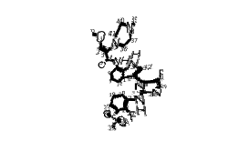 COC=C(C(=O)Nc1cccc2c(-c3nc(Nc4cccc(S(C)(=O)=O)c4F)ncc3F)c[nH]c12)N1CCN(C)CC1